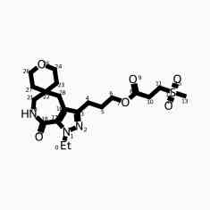 CCn1nc(CCCOC(=O)CCS(C)(=O)=O)c2c1C(=O)NCC1(CCOCC1)C2